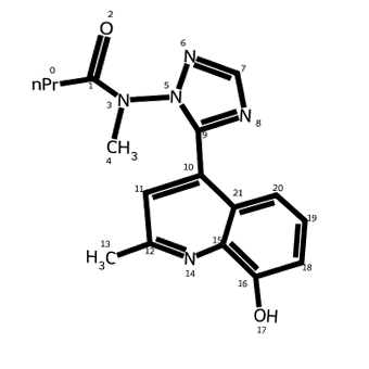 CCCC(=O)N(C)n1ncnc1-c1cc(C)nc2c(O)cccc12